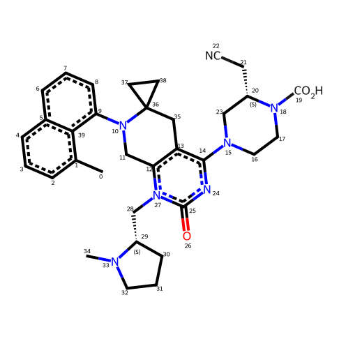 Cc1cccc2cccc(N3Cc4c(c(N5CCN(C(=O)O)[C@@H](CC#N)C5)nc(=O)n4C[C@@H]4CCCN4C)CC34CC4)c12